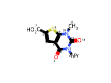 CCCn1c(=O)c2cc(C(=O)O)sc2n(C)c1=O